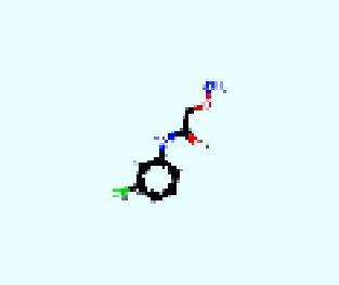 NOCC(=O)Nc1cccc(Cl)c1